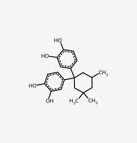 CC1CC(C)(C)CC(c2ccc(O)c(O)c2)(c2ccc(O)c(O)c2)C1